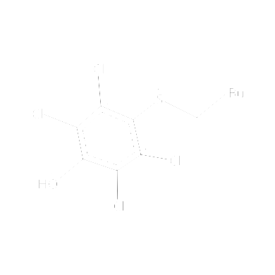 CCC(C)CSc1c(Cl)c(Cl)c(O)c(Cl)c1Cl